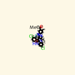 CCN1[C@H]2Cn3c(nc4cc(C(=O)OC)c(C)cc43)[C@H]2[C@H](C2CC=CC(Cl)=C2F)[C@]12C(=O)Nc1cc(Cl)ccc12